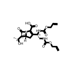 C=CCOC(=O)NC[C@@H](NC(=O)OCC=C)C1=C(C(=O)O)N2C(=O)[C@H]([C@@H](C)O)[C@H]2C1